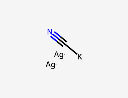 N#[C][K].[Ag].[Ag]